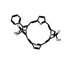 O=C(O)n1c2ccc1cc1nc(cc3c(-c4ccccc4)c(Cl)c(cc4nc(c2)C=C4)n3C(=O)O)C=C1